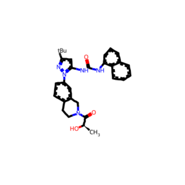 C[C@@H](O)C(=O)N1CCc2ccc(-n3nc(C(C)(C)C)cc3NC(=O)Nc3cccc4ccccc34)cc2C1